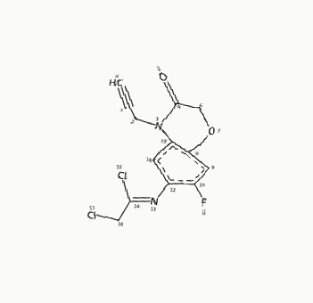 C#CCN1C(=O)COc2cc(F)c(N=C(Cl)CCl)cc21